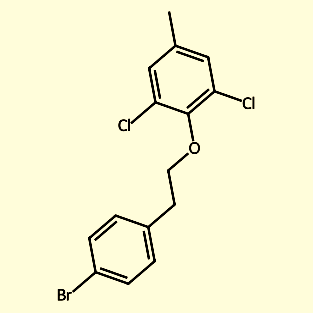 Cc1cc(Cl)c(OCCc2ccc(Br)cc2)c(Cl)c1